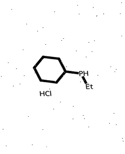 CCPC1CCCCC1.Cl